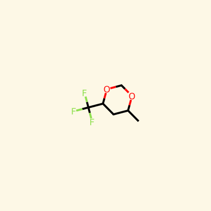 CC1CC(C(F)(F)F)OCO1